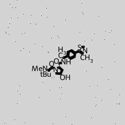 CN[C@H](C(=O)N1C[C@H](O)C[C@H]1C(=O)NC(C)c1ccc(-c2scnc2C)cc1)C(C)(C)C